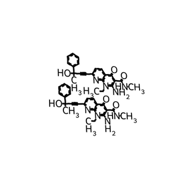 CCn1c(N)c(C(=O)NC)c(=O)c2ccc(C#CC(C)(O)c3ccccc3)nc21.CCn1c(N)c(C(=O)NC)c(=O)c2ccc(C#CC(C)(O)c3ccccc3)nc21